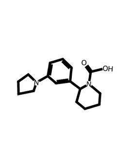 O=C(O)N1CCCCC1c1cccc(N2CCCC2)c1